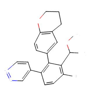 CC(C)(C)OC(C(=O)O)c1c(C(F)(F)F)ccc(-c2ccnnc2)c1-c1ccc2c(c1)CCCO2